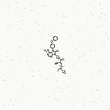 CCN(C1COC1)C(C)(C)C=C(C#N)C(=O)N1CC(n2c(=O)n(-c3ccc(Oc4ccccc4)cc3)c3c(N)ncnc32)C1